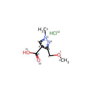 COCc1nn(C)cc1C(=O)O.Cl